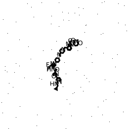 CN1C(=O)CCC(n2c(=O)n(C)c3c(CN4CCC(N(C)C[C@H]5CC[C@H](n6cc(NC(=O)c7coc(-c8ccnc(NCC9CC9)c8)n7)c(C(F)F)n6)CC5)CC4)cccc32)C1=O